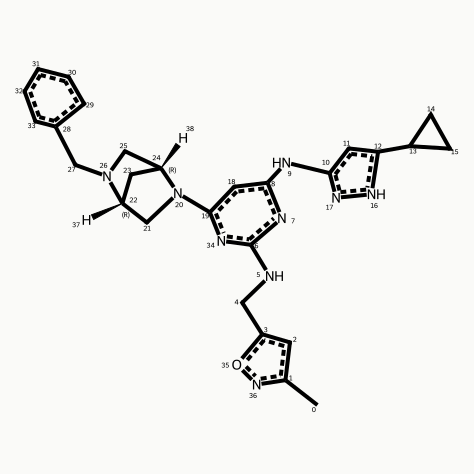 Cc1cc(CNc2nc(Nc3cc(C4CC4)[nH]n3)cc(N3C[C@H]4C[C@@H]3CN4Cc3ccccc3)n2)on1